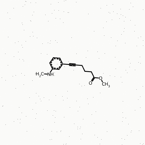 [CH2]Nc1cccc(C#CCCCC(=O)OC)c1